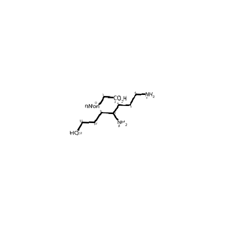 CCCCCCCCCCC(=O)O.NCCCC(N)CCCO